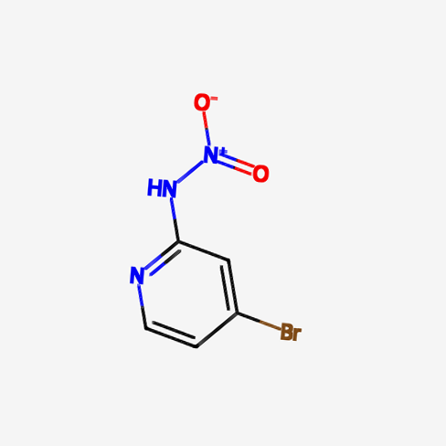 O=[N+]([O-])Nc1cc(Br)ccn1